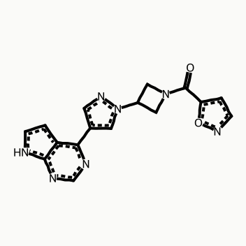 O=C(c1ccno1)N1CC(n2cc(-c3ncnc4[nH]ccc34)cn2)C1